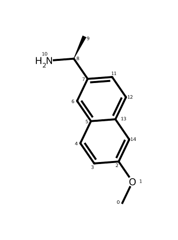 COc1ccc2cc([C@H](C)N)ccc2c1